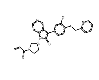 C=CC(=O)N1CC[C@@H](n2c(=O)n(-c3ccc(OCc4ccccn4)c(Cl)c3)c3cnccc32)C1